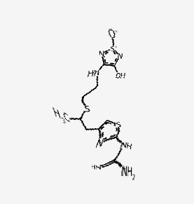 CC(Cc1csc(NC(=N)N)n1)SCCNc1n[s+]([O-])nc1O